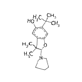 CC(C)(C)c1cc2c(cc1O)C(C)(C)C(N1CCCCC1)O2